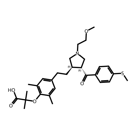 COCCN1C[C@H](CCc2cc(C)c(OC(C)(C)C(=O)O)c(C)c2)[C@@H](C(=O)c2ccc(SC)cc2)C1